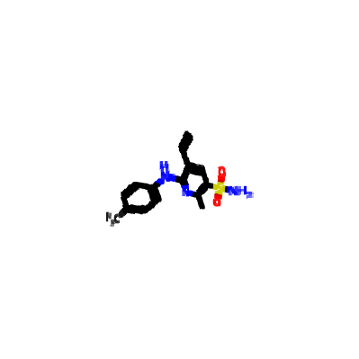 C=Cc1cc(S(N)(=O)=O)c(C)nc1Nc1ccc(C(F)(F)F)cc1